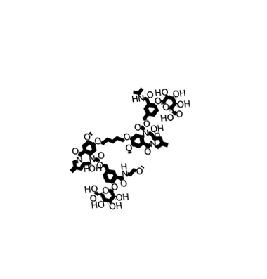 C=C1C[C@H]2C(O)N(C(=O)OCc3ccc(O[C@@H]4O[C@H](C(=O)O)[C@@H](O)[C@H](O)[C@H]4O)c(C(=O)NCCOC)c3)c3cc(OCCCCCOc4cc5c(cc4OC)C(=O)N4CC(=C)C[C@H]4C(O)N5C(=O)OCc4ccc(O[C@@H]5O[C@H](C(=O)O)[C@@H](O)[C@H](O)[C@H]5O)c(C(=O)NC(C)C)c4)c(OC)cc3C(=O)N2C1